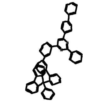 c1ccc(-c2ccc(-c3cc(-c4cccc(-c5cccc(-c6ccccc6C6(c7ccccc7)c7ccccc7-c7ccccc76)c5)c4)nc(-c4ccccc4)n3)cc2)cc1